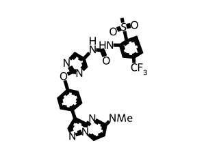 CNc1ccn2ncc(-c3ccc(Oc4ncc(NC(=O)Nc5cc(C(F)(F)F)ccc5S(C)(=O)=O)cn4)cc3)c2n1